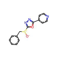 [O-][S+](Cc1ccccc1)c1nnc(-c2ccncc2)o1